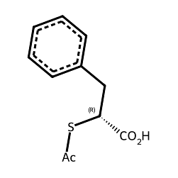 CC(=O)S[C@H](Cc1ccccc1)C(=O)O